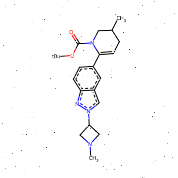 CC1CC=C(c2ccc3nn(C4CN(C)C4)cc3c2)N(C(=O)OC(C)(C)C)C1